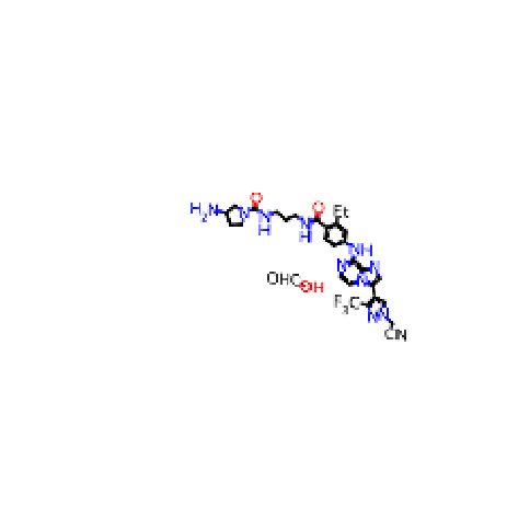 CCc1cc(Nc2nccn3c(-c4cn(CC#N)nc4C(F)(F)F)cnc23)ccc1C(=O)NCCCNC(=O)N1CCC(N)C1.O=CO